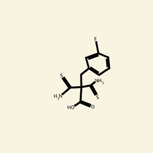 NC(=S)C(Cc1cccc(F)c1)(C(=O)O)C(N)=S